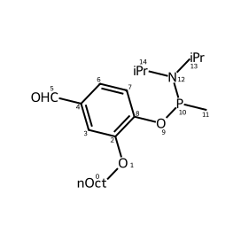 CCCCCCCCOc1cc(C=O)ccc1OP(C)N(C(C)C)C(C)C